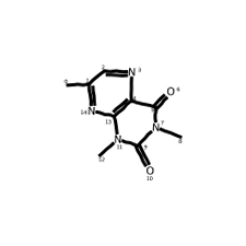 Cc1cnc2c(=O)n(C)c(=O)n(C)c2n1